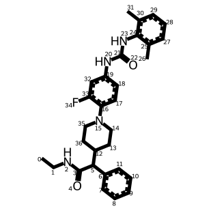 CCNC(=O)C(c1ccccc1)C1CCN(c2ccc(NC(=O)Nc3c(C)cccc3C)cc2F)CC1